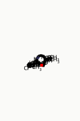 CN(c1cccc(Cl)c1)S(=O)(=O)NC(=O)[C@@]12C[C@H]1/C=C\CCCCC[C@H](NC(=O)OC(C)(C)C)C(=O)N1CCC[C@H]1C(=O)N2